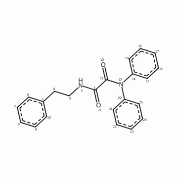 O=C(NCCc1ccccc1)C(=O)N(c1ccccc1)c1ccccc1